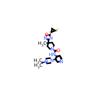 CC(C)N1CCN(c2cnccc2NC(=O)N2CCC(C)(c3noc([C@@H]4C[C@@H]4F)n3)CC2)CC1